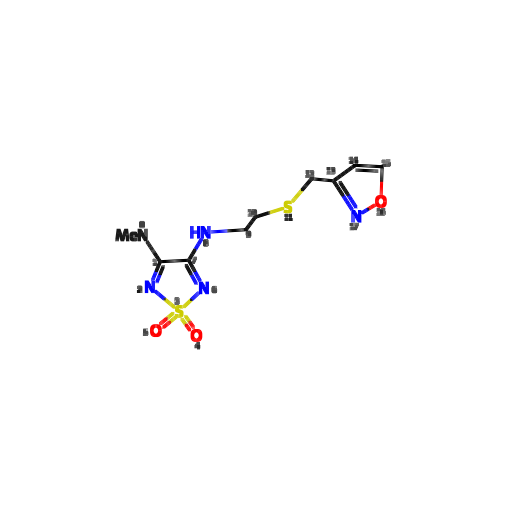 CNC1=NS(=O)(=O)N=C1NCCSCc1ccon1